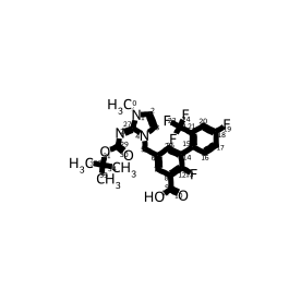 Cn1ccn(Cc2cc(C(=O)O)c(F)c(-c3ccc(F)cc3C(F)(F)F)c2)/c1=N\C(=O)OC(C)(C)C